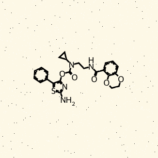 Nc1nc(OC(=O)N(CCNC(=O)c2cccc3c2OCCO3)C2CC2)c(-c2ccccc2)s1